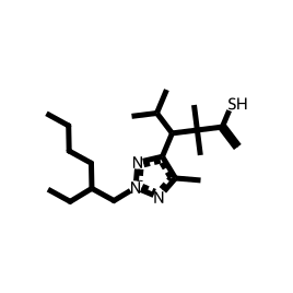 C=C(S)C(C)(C)C(c1nn(CC(CC)CCCC)nc1C)C(C)C